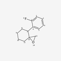 Fc1ccccc1C1CCCCC12CO2